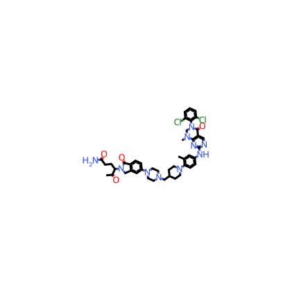 CC(=O)C(CCC(N)=O)N1Cc2cc(N3CCN(CC4CCN(c5ccc(Nc6ncc7c(n6)N(C)CN(c6c(Cl)cccc6Cl)C7=O)cc5C)CC4)CC3)ccc2C1=O